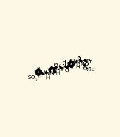 CC(C)C[C@H](NC(=O)OC(C)(C)C)C(=O)NNc1ccc(C(=O)NCCNC(=O)c2ccc(N/N=C/c3ccccc3S(=O)(=O)O)nc2)cc1